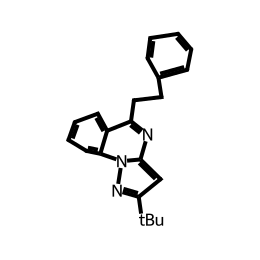 CC(C)(C)c1cc2nc(CCc3ccccc3)c3ccccc3n2n1